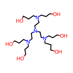 OCCCN(CCCO)CCN(CCN(CCCO)CCCO)CCN(CCCO)CCCO